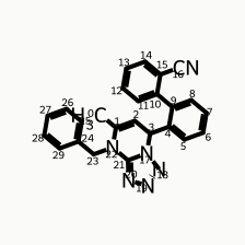 CC1=CC(c2ccccc2-c2ccccc2C#N)n2nnnc2N1Cc1ccccc1